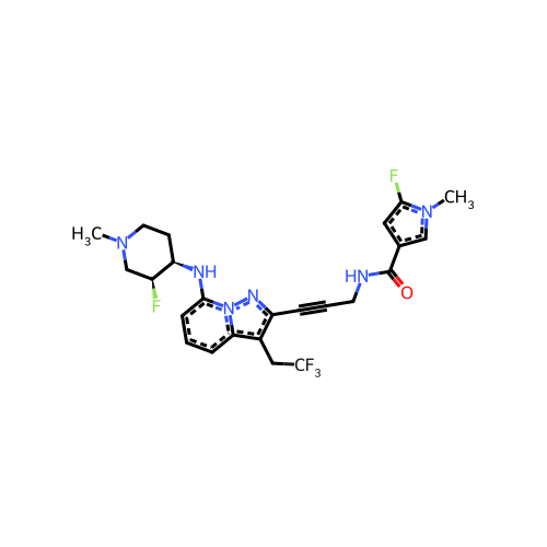 CN1CC[C@@H](Nc2cccc3c(CC(F)(F)F)c(C#CCNC(=O)c4cc(F)n(C)c4)nn23)[C@@H](F)C1